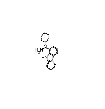 NN(c1ccccc1)c1cccc2c1[nH]c1ccccc12